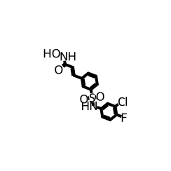 O=C(/C=C/c1cccc(S(=O)(=O)Nc2ccc(F)c(Cl)c2)c1)NO